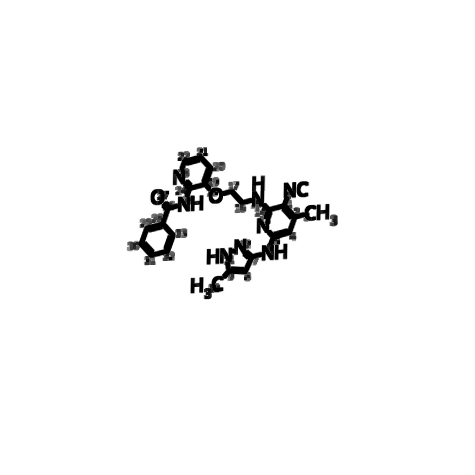 [C-]#[N+]c1c(C)cc(Nc2cc(C)[nH]n2)nc1NCCOc1cccnc1NC(=O)c1ccccc1